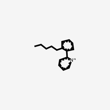 CCCCCc1ccccc1-c1cccc[n+]1C